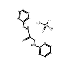 CS(=O)(=O)O.O=C(CNc1ccccc1)NCc1ccccc1